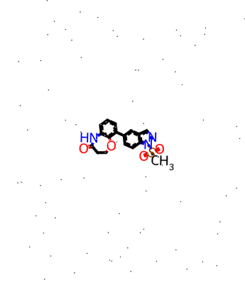 CS(=O)(=O)n1ncc2cc(-c3cccc4c3OCCC(=O)N4)ccc21